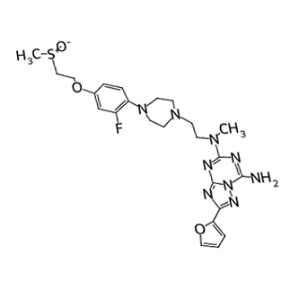 CN(CCN1CCN(c2ccc(OCC[S+](C)[O-])cc2F)CC1)c1nc(N)n2nc(-c3ccco3)nc2n1